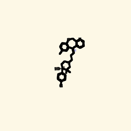 Cc1ccc2c(c1)/C(=C\CCN1CC[C@](O)(c3ccc(Cl)cc3)C(C)(C)C1)c1cccnc1CO2